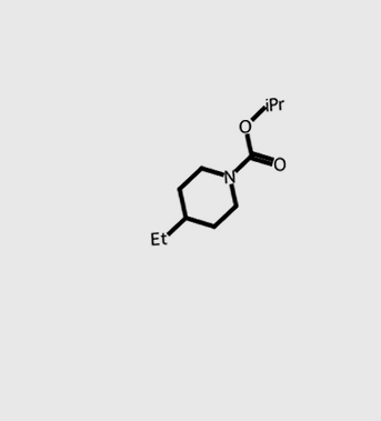 CCC1CCN(C(=O)OC(C)C)CC1